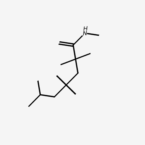 C=C(NC)C(C)(C)CC(C)(C)CC(C)C